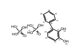 O=P(O)(O)O.O=P(O)(O)O.Oc1cccc(-c2ccccc2)c1O